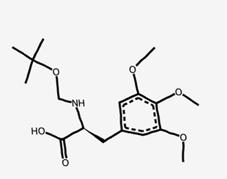 COc1cc(C[C@H](NCOC(C)(C)C)C(=O)O)cc(OC)c1OC